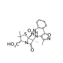 Cc1noc(-c2ccccc2[N+](=O)[O-])c1N[C@@]1(C)C(=O)N2[C@@H](C(=O)O)C(C)(C)S[C@@H]21